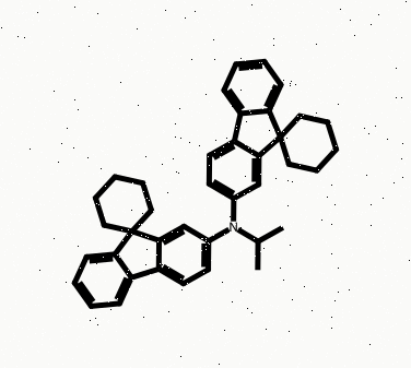 CC(C)N(c1ccc2c(c1)C1(CCCCC1)c1ccccc1-2)c1ccc2c(c1)C1(CCCCC1)c1ccccc1-2